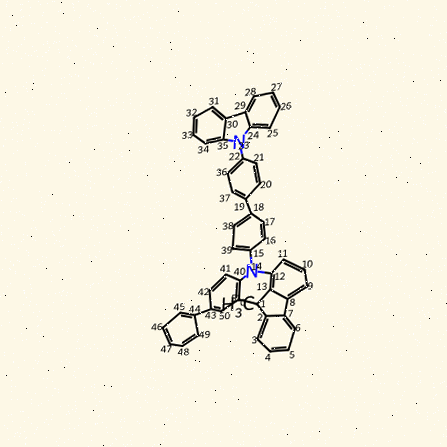 CC12c3ccccc3-c3cccc(c31)N(c1ccc(-c3ccc(-n4c5ccccc5c5ccccc54)cc3)cc1)c1ccc(-c3ccccc3)cc12